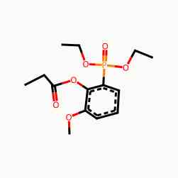 CCOP(=O)(OCC)c1cccc(OC)c1OC(=O)CC